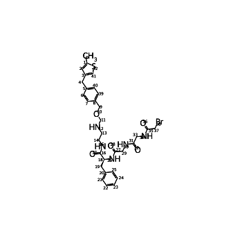 Cc1cc(Cc2ccc(COCNCCNC(=O)[C@H](Cc3ccccc3)NC(=O)CNC(=O)CNC(=O)CBr)cc2)cs1